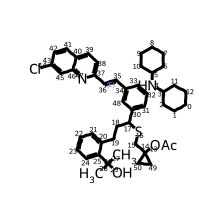 C1CCC(NC2CCCCC2)CC1.CC(=O)OC1(CSC(CCc2ccccc2C(C)(C)O)c2cccc(/C=C/c3ccc4ccc(Cl)cc4n3)c2)CC1